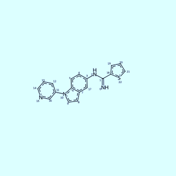 N=C(Nc1ccc2c(ccn2-c2cccnc2)c1)c1cccs1